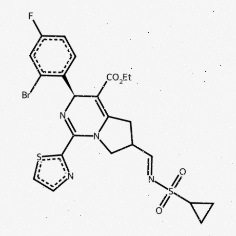 CCOC(=O)C1=C2CC(/C=N/S(=O)(=O)C3CC3)CN2C(c2nccs2)=N[C@H]1c1ccc(F)cc1Br